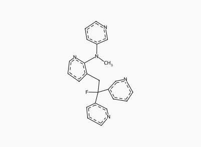 CN(c1cccnc1)c1ncccc1CC(F)(c1cccnc1)c1cccnc1